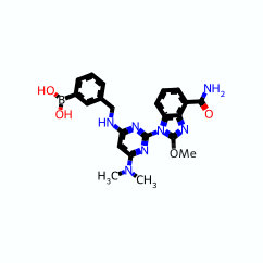 COc1nc2c(C(N)=O)cccc2n1-c1nc(NCc2cccc(B(O)O)c2)cc(N(C)C)n1